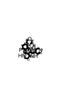 COc1c(F)cccc1Nc1c(-c2ccncc2OC[C@H]2COCCN2)[nH]c2c1C(=O)NCC2